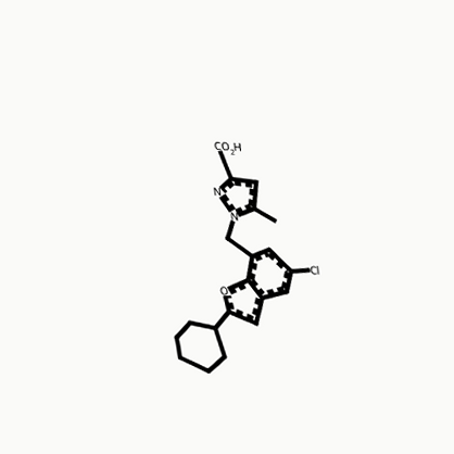 Cc1cc(C(=O)O)nn1Cc1cc(Cl)cc2cc(C3CCCCC3)oc12